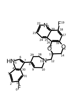 Fc1ccc2[nH]cc(C3=CCN(CC4COc5cc(F)c6ncccc6c5O4)CC3)c2c1